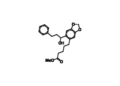 COC(=O)CCCCc1cc2c(cc1C(O)CCc1ccccc1)OCO2